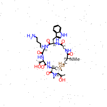 CN[C@H]1CS[SH](C)C[C@@H](C(=O)N(C)[C@H](C)[C@@H](C)O)NC(=O)C([C@@H](C)O)NC(=O)[C@H](CCCCN)NC(=O)[C@@H](Cc2c[nH]c3ccccc23)NC(=O)CNC1=O